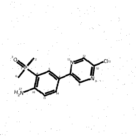 CP(C)(=O)c1cc(-c2cnc(Cl)cn2)ccc1N